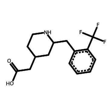 O=C(O)CC1CCNC(Cc2ccccc2C(F)(F)F)C1